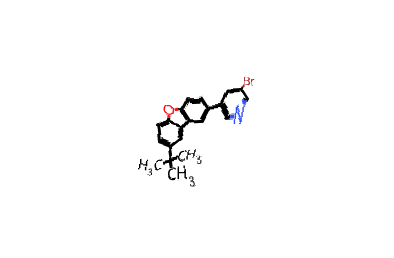 CC(C)(C)c1ccc2oc3ccc(-c4cncc(Br)c4)cc3c2c1